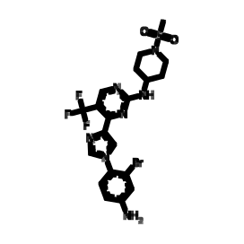 CS(=O)(=O)N1CCC(Nc2ncc(C(F)(F)F)c(-c3cn(-c4ccc(N)cc4Br)cn3)n2)CC1